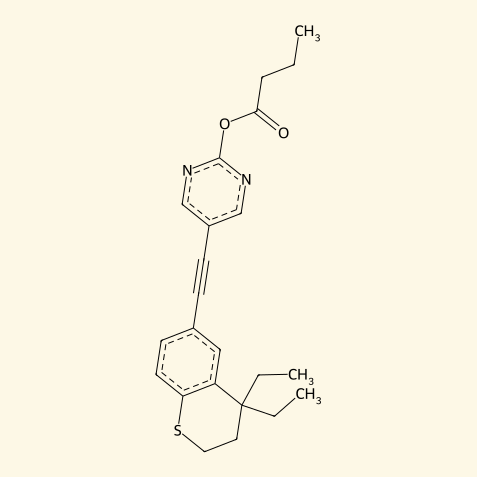 CCCC(=O)Oc1ncc(C#Cc2ccc3c(c2)C(CC)(CC)CCS3)cn1